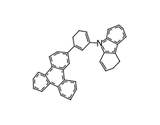 C1=Cc2c(c3ccccc3n2C2=CCCC(c3ccc4c5ccccc5c5ccccc5c4c3)=C2)CC1